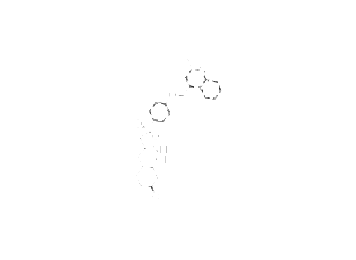 Cc1cc(COc2ccc(S(=O)(=O)CC(CC3CCC(=O)CC3)NO)cc2)c2ccccc2n1